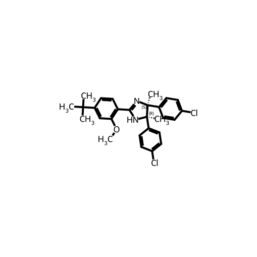 COc1cc(C(C)(C)C)ccc1C1=N[C@@](C)(c2ccc(Cl)cc2)[C@@](C)(c2ccc(Cl)cc2)N1